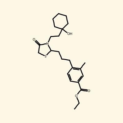 CCOC(=O)c1ccc(CCCC2SCC(=O)N2CCC2(O)CCCCC2)c(C)c1